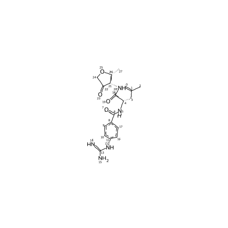 C=C(C)C[C@H](NC(=O)c1ccc(NC(=N)N)cc1)C(=O)N[C@@H]1C(=O)CO[C@@H]1C